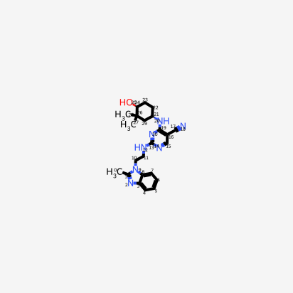 Cc1nc2ccccc2n1CCNc1ncc(C#N)c(N[C@@H]2CC[C@H](O)C(C)(C)C2)n1